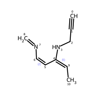 C#CCNC(/C=C\N=C)=C/C